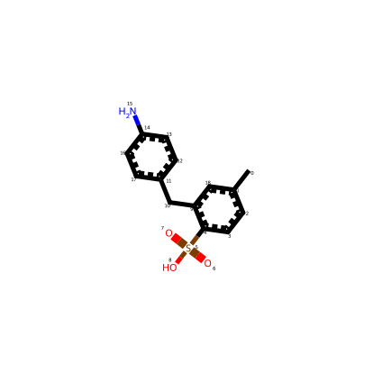 Cc1ccc(S(=O)(=O)O)c(Cc2ccc(N)cc2)c1